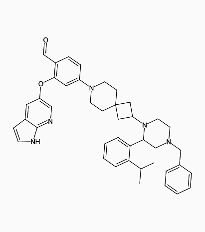 CC(C)c1ccccc1C1CN(Cc2ccccc2)CCN1C1CC2(CCN(c3ccc(C=O)c(Oc4cnc5[nH]ccc5c4)c3)CC2)C1